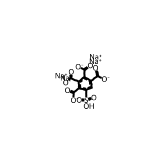 O=C([O-])c1cc(S(=O)(=O)O)c(C(=O)[O-])c(C(=O)[O-])c1C(=O)[O-].[Na+].[Na+].[Na+].[Na+]